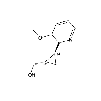 COC1C=CC=NC1[C@H]1C[C@@H]1CO